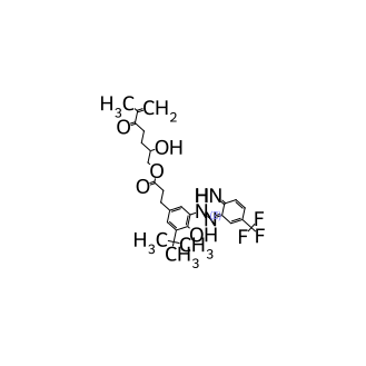 C=C(C)C(=O)CCC(O)COC(=O)CCc1cc(N/N=C2/C=C(C(F)(F)F)C=CC2=N)c(O)c(C(C)(C)C)c1